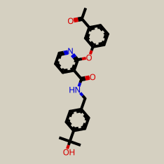 CC(=O)c1cccc(Oc2ncccc2C(=O)NCc2ccc(C(C)(C)O)cc2)c1